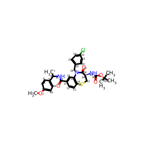 COc1ccc(C(C)NC(=O)c2ccc3c(c2)N(Cc2ccc(Cl)cc2)C(=O)[C@@H](NC(=O)OC(C)(C)C)CS3)cc1